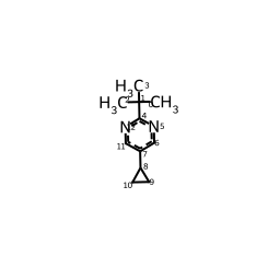 CC(C)(C)c1ncc(C2CC2)cn1